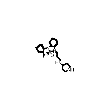 O=S1(=O)N(CCCNC2CCNCC2)c2ccccc2N1c1ccccc1F